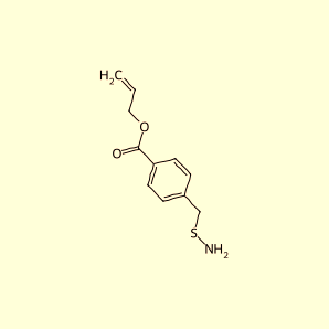 C=CCOC(=O)c1ccc(CSN)cc1